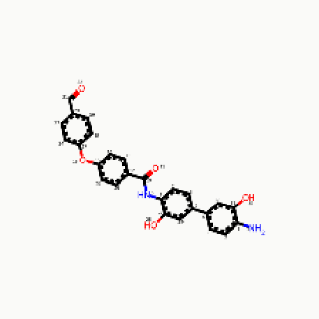 Nc1ccc(-c2ccc(NC(=O)c3ccc(Oc4ccc(C=O)cc4)cc3)c(O)c2)cc1O